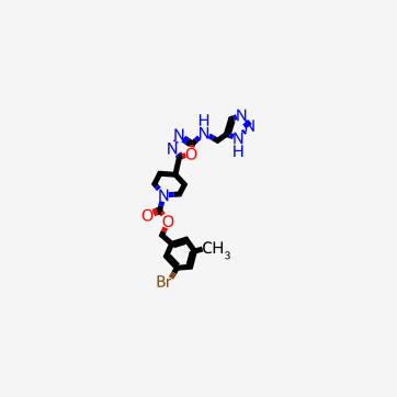 Cc1cc(Br)cc(COC(=O)N2CCC(c3nnc(NCc4cnn[nH]4)o3)CC2)c1